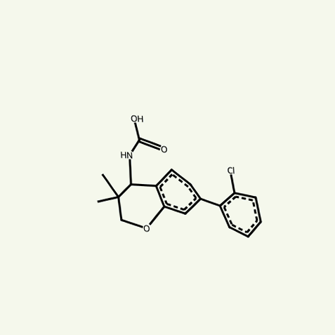 CC1(C)COc2cc(-c3ccccc3Cl)ccc2C1NC(=O)O